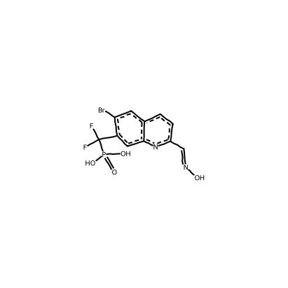 O=P(O)(O)C(F)(F)c1cc2nc(C=NO)ccc2cc1Br